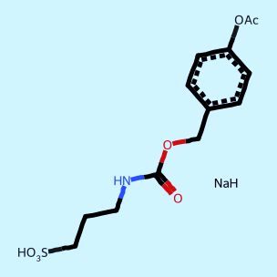 CC(=O)Oc1ccc(COC(=O)NCCCS(=O)(=O)O)cc1.[NaH]